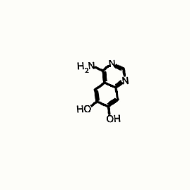 Nc1ncnc2cc(O)c(O)cc12